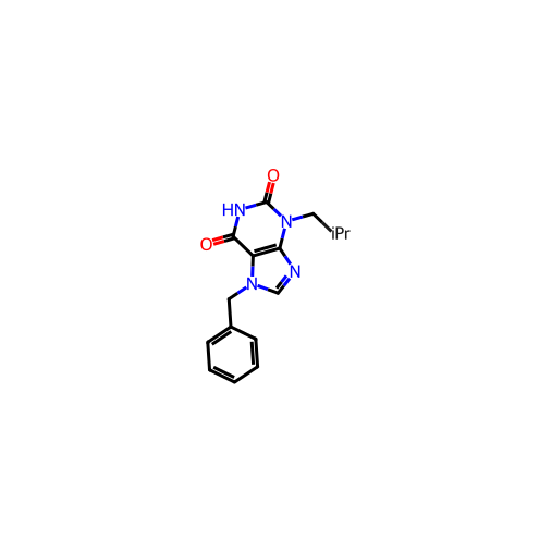 CC(C)Cn1c(=O)[nH]c(=O)c2c1ncn2Cc1ccccc1